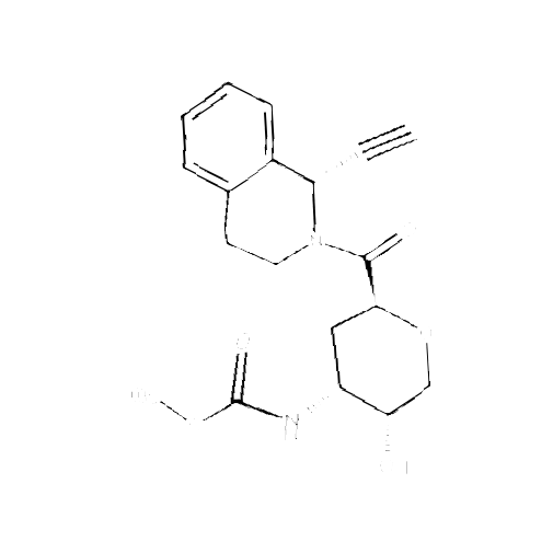 C#C[C@H]1c2ccccc2CCN1C(=O)[C@@H]1C[C@@H](NC(=O)OC(C)(C)C)[C@@H](O)CO1